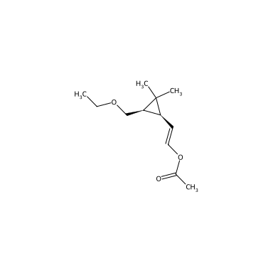 CCOC[C@@H]1[C@H](C=COC(C)=O)C1(C)C